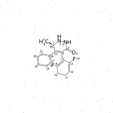 C[C@H]1NNC(=O)C(C2=C(F)CCC=C2F)=C1c1ccccc1